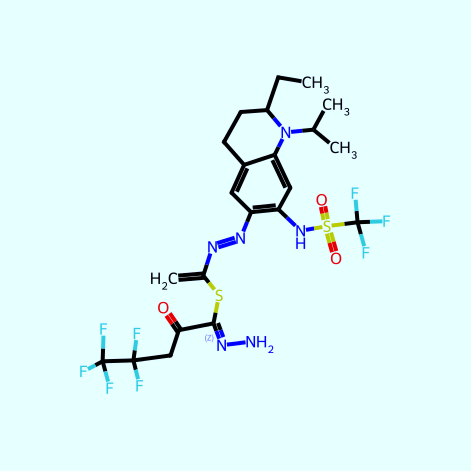 C=C(N=Nc1cc2c(cc1NS(=O)(=O)C(F)(F)F)N(C(C)C)C(CC)CC2)S/C(=N\N)C(=O)CC(F)(F)C(F)(F)F